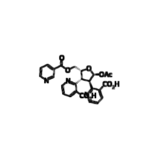 CC(=O)O[C@@H]1O[C@@H](COC(=O)c2cccnc2)[C@@H](c2ncccc2C(=O)O)[C@@H]1c1ncccc1C(=O)O